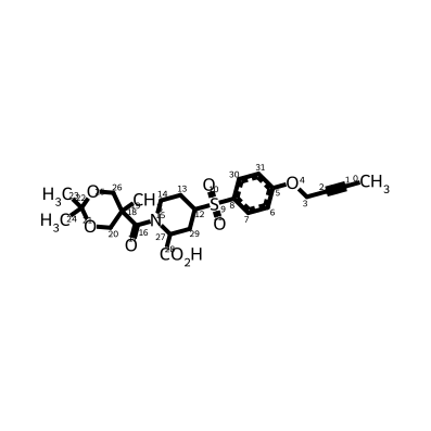 CC#CCOc1ccc(S(=O)(=O)C2CCN(C(=O)C3(C)COC(C)(C)OC3)C(C(=O)O)C2)cc1